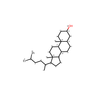 CCC(CCC(C)C1CCC2C3CCC4CC(O)CCC4(C)C3CCC12C)C(C)C